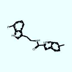 Cc1ccc2cc(C(=O)NCCc3c[nH]c4c(F)cccc34)[nH]c2c1